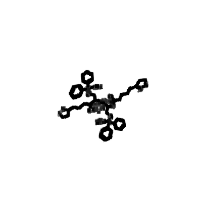 CCCCCCC(CO[Si](c1ccccc1)(c1ccccc1)C(C)(C)C)C(CCCC1CCSS1)C(=O)O.CCCCCCC(CO[Si](c1ccccc1)(c1ccccc1)C(C)(C)C)OC(=O)CCCCC1CCSS1